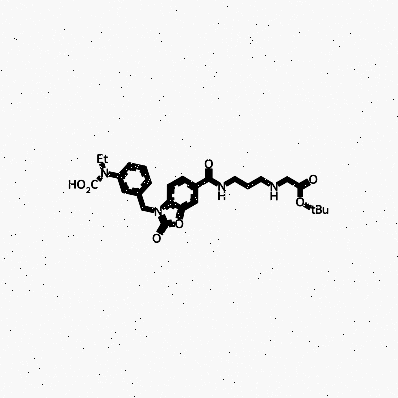 CCN(C(=O)O)c1cccc(Cn2c(=O)oc3cc(C(=O)NCCCNCC(=O)OC(C)(C)C)ccc32)c1